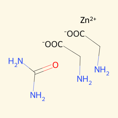 NC(N)=O.NCC(=O)[O-].NCC(=O)[O-].[Zn+2]